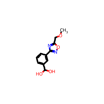 COCc1nc(-c2cccc(C(O)O)c2)no1